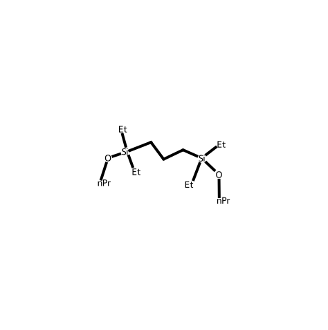 CCCO[Si](CC)(CC)CCC[Si](CC)(CC)OCCC